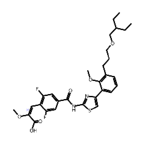 CCC(CC)COCCCc1cccc(-c2csc(NC(=O)c3cc(F)c(/C=C(/OC)C(=O)O)c(F)c3)n2)c1OC